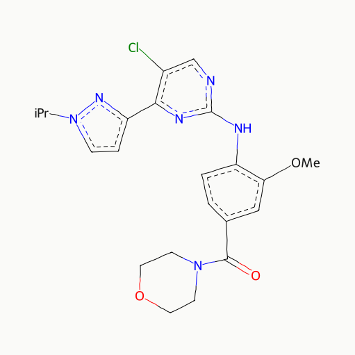 COc1cc(C(=O)N2CCOCC2)ccc1Nc1ncc(Cl)c(-c2ccn(C(C)C)n2)n1